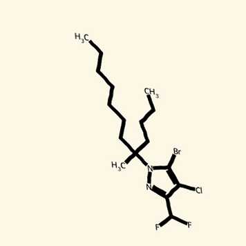 CCCCCCCC(C)(CCCC)n1nc(C(F)F)c(Cl)c1Br